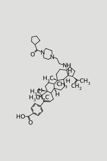 C=C(C)[C@@H]1CC[C@]2(NCCN3CCN(C(=O)C4CCCC4)CC3)CC[C@]3(C)[C@H](CC[C@@H]4[C@@]5(C)CC=C(c6ccc(C(=O)O)cc6)C(C)(C)[C@@H]5CC[C@]43C)[C@@H]12